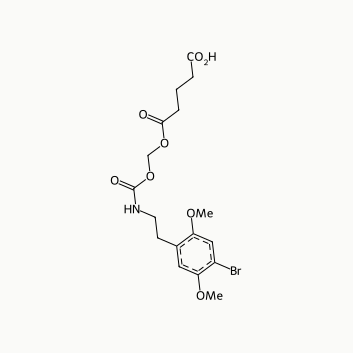 COc1cc(CCNC(=O)OCOC(=O)CCCC(=O)O)c(OC)cc1Br